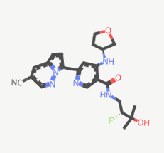 CC(C)(O)[C@H](F)CNC(=O)c1cnc(-c2ccc3cc(C#N)cnn23)cc1N[C@H]1CCOC1